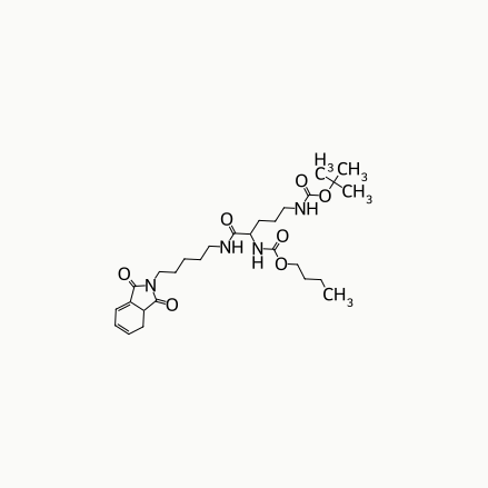 CCCCOC(=O)NC(CCCNC(=O)OC(C)(C)C)C(=O)NCCCCCN1C(=O)C2=CC=CCC2C1=O